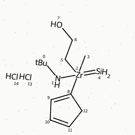 CC(C)(C)[NH][Zr]([CH3])(=[SiH2])([CH2]CO)[C]1=CC=CC1.Cl.Cl